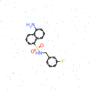 Nc1cccc2c(S(=O)(=O)NCc3cccc(F)c3)cccc12